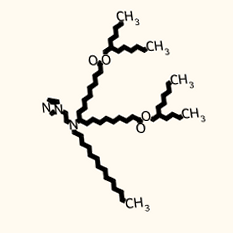 CCCCCCCCCCCCCCN(CCn1ccnc1)C(CCCCCCCCC(=O)OCC(CCCC)CCCCCC)CCCCCCCCC(=O)OCC(CCCCC)CCCCCC